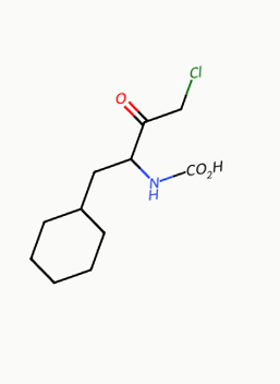 O=C(O)NC(CC1CCCCC1)C(=O)CCl